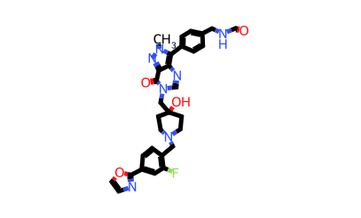 Cn1nc2c(=O)n(CC3(O)CCN(Cc4ccc(-c5ncco5)cc4F)CC3)cnc2c1-c1ccc(CNC=O)cc1